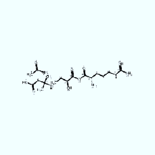 CC(C)(O)CC(=O)O.CC(N)=O.CCC(O)C(=O)OC(=O)[C@@H](N)CCCNC(=N)N